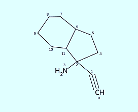 C#CC1(N)CCC2CCCCC21